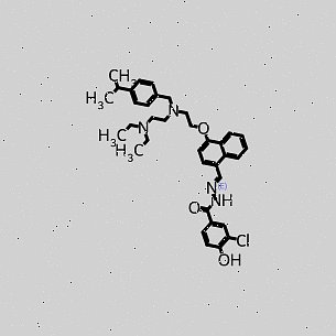 CCN(CC)CCN(CCOc1ccc(/C=N/NC(=O)c2ccc(O)c(Cl)c2)c2ccccc12)Cc1ccc(C(C)C)cc1